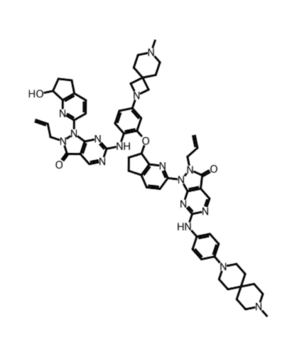 C=CCn1c(=O)c2cnc(Nc3ccc(N4CCC5(CCN(C)CC5)CC4)cc3)nc2n1-c1ccc2c(n1)C(Oc1cc(N3CC4(CCN(C)CC4)C3)ccc1Nc1ncc3c(=O)n(CC=C)n(-c4ccc5c(n4)C(O)CC5)c3n1)CC2